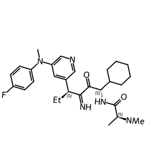 CC[C@H](C(=N)C(=O)[C@@H](NC(=O)[C@H](C)NC)C1CCCCC1)c1cncc(N(C)c2ccc(F)cc2)c1